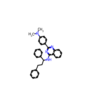 CN(C)c1ccc(-c2nc(NC(CCc3ccccc3)c3ccccc3)c3ccccc3n2)cc1